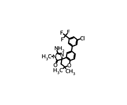 CN1C(=O)C2(CC(C)(C)Oc3ccc(-c4cc(Cl)cc(C(F)(F)F)c4)cc32)N=C1N